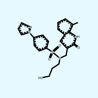 Cc1cccc2cc(CN(CCCO)S(=O)(=O)c3ccc(-n4cccn4)cc3)c(=O)[nH]c12